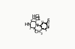 CC1CNCCN1c1ccnc(F)c1.Cl.Cl